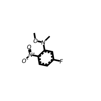 CON(C)c1cc(F)ccc1[N+](=O)[O-]